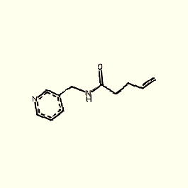 C=CCCC(=O)NCc1cccnc1